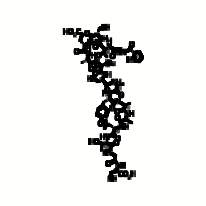 CC[C@H](C)[C@H](NC(=O)[C@H](C)NC(=O)[C@H](CCC(=O)O)NC(=O)[C@H](CS)NC(=O)[C@@H](NC(=O)CNC(=O)[C@@H]1CCCN1)[C@@H](C)O)C(=O)N[C@@H](CS)C(=O)N[C@@H](C)C(=O)N[C@@H](Cc1ccc(O)cc1)C(=O)N[C@@H](C)C(=O)N[C@@H](C)C(=O)N[C@@H](CS)C(=O)N[C@H](C(=O)NCC(=O)N[C@@H](CS)C(=O)O)[C@@H](C)O